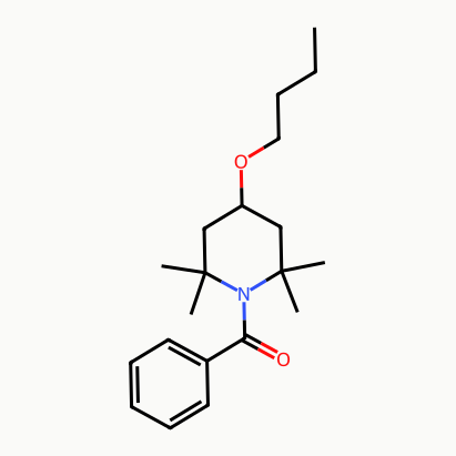 CCCCOC1CC(C)(C)N(C(=O)c2ccccc2)C(C)(C)C1